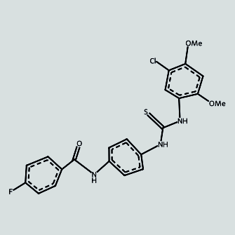 COc1cc(OC)c(NC(=S)Nc2ccc(NC(=O)c3ccc(F)cc3)cc2)cc1Cl